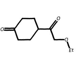 CCOCC(=O)C1CCC(=O)CC1